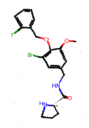 COc1cc(CNC(=O)[C@@H]2CCCN2)cc(Br)c1OCc1ccccc1F